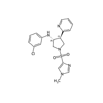 Cn1cnc(S(=O)(=O)N2C[C@H](Nc3cccc(Cl)c3)[C@@H](c3ccccn3)C2)c1